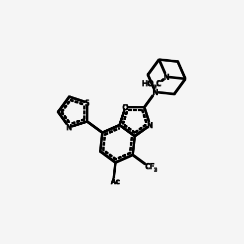 CC(=O)c1cc(-c2nccs2)c2oc(N3CC4CC(C3)N4C(=O)O)nc2c1C(F)(F)F